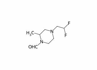 CC1CN(CC(F)F)CCN1C=O